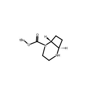 CC(C)(C)OC(=O)N1CCN[C@@H]2CC[C@H]21